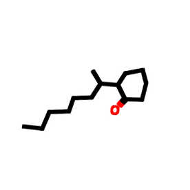 CCCCCCC(C)C1CCCCC1=O